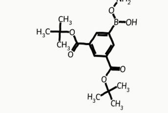 CC(C)(C)OC(=O)c1cc(B(O)ON)cc(C(=O)OC(C)(C)C)c1